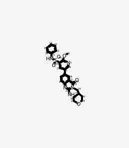 COc1ncc(-c2ccc3nc(N)n(CC4CCOCC4)c(=O)c3c2)cc1S(=O)(=O)Nc1ccccc1